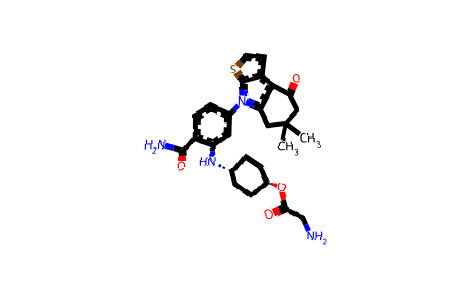 CC1(C)CC(=O)c2c(n(-c3ccc(C(N)=O)c(N[C@H]4CC[C@H](OC(=O)CN)CC4)c3)c3sccc23)C1